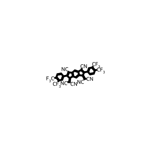 N#CC(C#N)=C1C(c2ccc(C(F)(F)F)c(C(F)(F)F)c2)=C(C#N)c2cc3c(cc21)C(=C(C#N)C#N)C(c1ccc(C(F)(F)F)c(C(F)(F)F)c1)=C3C#N